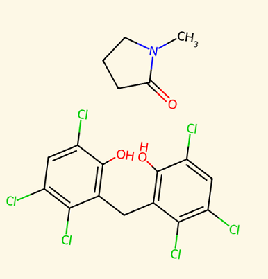 CN1CCCC1=O.Oc1c(Cl)cc(Cl)c(Cl)c1Cc1c(O)c(Cl)cc(Cl)c1Cl